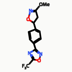 COC1=NOC(c2ccc(-c3noc(C(F)(F)F)n3)cc2)C1